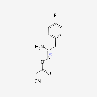 N#CCC(=O)O/N=C(\N)Cc1ccc(F)cc1